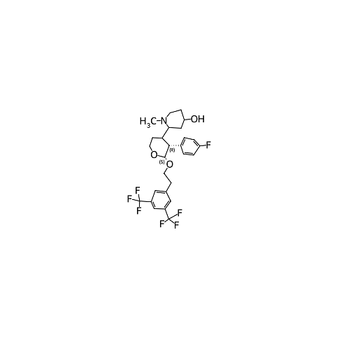 CN1CCC(O)CC1C1CCO[C@@H](OCCc2cc(C(F)(F)F)cc(C(F)(F)F)c2)[C@H]1c1ccc(F)cc1